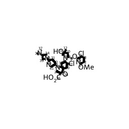 COc1ccc(Cl)c(OC[C@H]2CC(C)(O)CN2c2cc3c(cc2Cl)c(=O)c(C(=O)O)cn3-c2ccc(N3CC(N(C)C)C3)nc2)n1